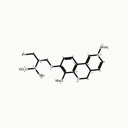 COc1c(OC[C@H](CC(C)C)N(C(=O)O)C(C)(C)C)ccc2c1OCC1C=CN(NC(C)=O)C=C21